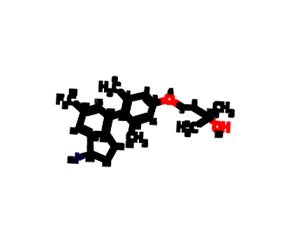 Cc1cc(OCCC(C)(C)O)cc(C)c1-c1cc(C(F)(F)F)cc2c1CC[C@H]2I